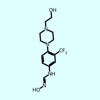 OCCN1CCN(c2ccc(N/C=N/O)cc2C(F)(F)F)CC1